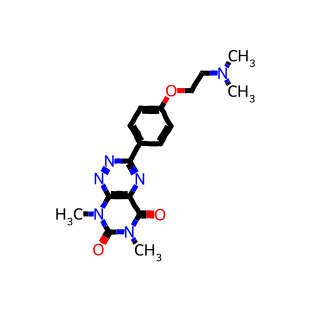 CN(C)CCOc1ccc(-c2nnc3c(n2)c(=O)n(C)c(=O)n3C)cc1